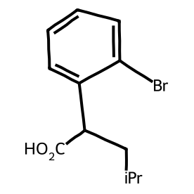 CC(C)CC(C(=O)O)c1ccccc1Br